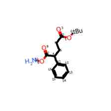 CC(C)(C)OC(=O)CCC(C(=O)ON)c1ccccc1